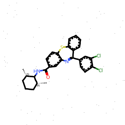 C[C@@H]1CCC[C@H](C)C1NC(=O)c1ccc2c(c1)N=C(c1ccc(Cl)c(Cl)c1)c1ccccc1S2